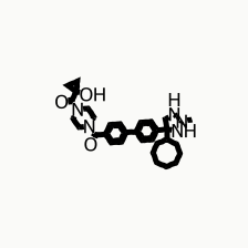 CN1NCC(c2ccc(-c3ccc(C(=O)N4CCN(C(=O)C5(O)CC5)CC4)cc3)cc2)(C2CCCCCCC2)N1